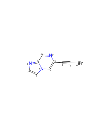 CC(C)C#Cc1cn2ccnc2cn1